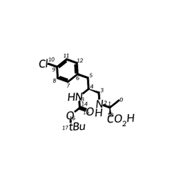 C[C@H](NC[C@H](Cc1ccc(Cl)cc1)NC(=O)OC(C)(C)C)C(=O)O